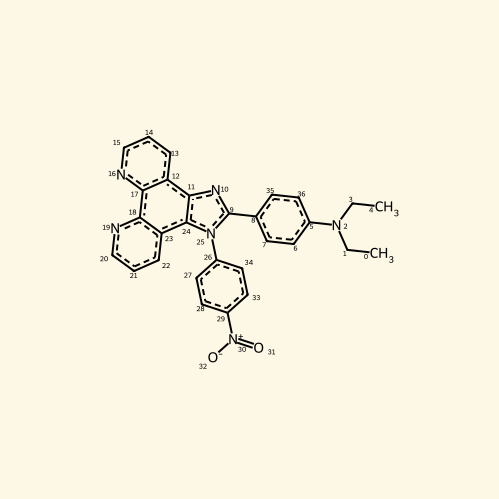 CCN(CC)c1ccc(-c2nc3c4cccnc4c4ncccc4c3n2-c2ccc([N+](=O)[O-])cc2)cc1